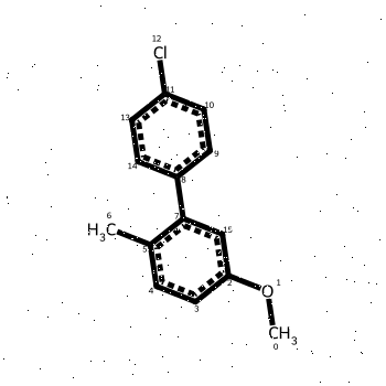 COc1ccc(C)c(-c2ccc(Cl)cc2)c1